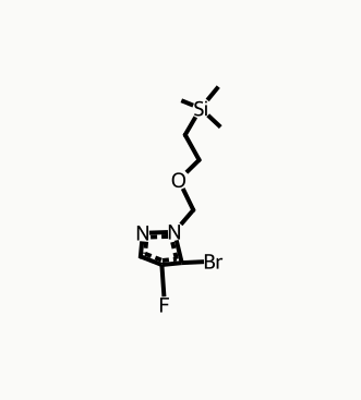 C[Si](C)(C)CCOCn1ncc(F)c1Br